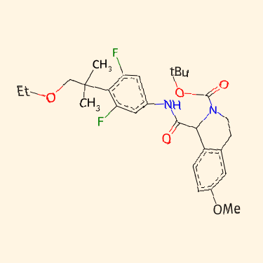 CCOCC(C)(C)c1c(F)cc(NC(=O)C2c3ccc(OC)cc3CCN2C(=O)OC(C)(C)C)cc1F